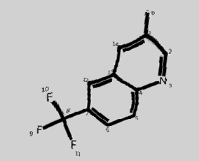 [CH2]c1cnc2ccc(C(F)(F)F)cc2c1